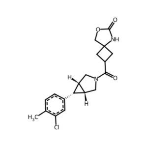 Cc1ccc([C@@H]2[C@@H]3CN(C(=O)C4CC5(COC(=O)N5)C4)C[C@@H]32)cc1Cl